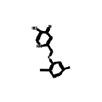 Cc1ccc(C)c(SCc2cc(=O)c(O)c[nH]2)c1